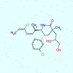 C=C(/C=C\C(Cl)=C/C)[C@H]1NC(=O)C(C)(CC(O)CO)C[C@@H]1c1cccc(Cl)c1